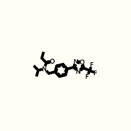 CCC(=O)N(Cc1ccc(-c2noc(C(F)(F)F)n2)cc1)C(C)C